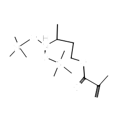 C=C(C)C(=O)OCCC(C)[SiH](O[Si](C)(C)C)O[Si](C)(C)C